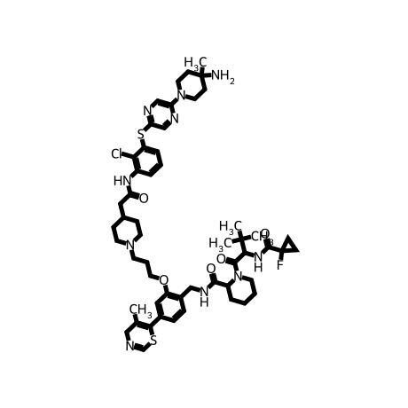 CC1=C(c2ccc(CNC(=O)C3CCCCN3C(=O)C(NC(=O)C3(F)CC3)C(C)(C)C)c(OCCCN3CCC(CC(=O)Nc4cccc(Sc5cnc(N6CCC(C)(N)CC6)cn5)c4Cl)CC3)c2)SC=NC1